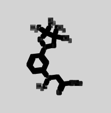 COC(=O)CN(C)c1cccc(B2OC(C)(C)C(C)(C)O2)c1